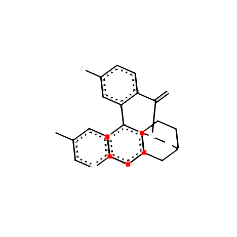 Cc1ccc(NC2CC3CCC2N(C(=O)c2ccc(F)cc2-c2ncccn2)C3)nc1